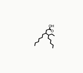 CCCCCCC(CC(=O)O)C(CC)CCCCC